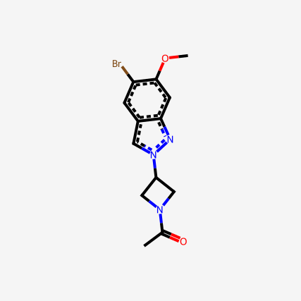 COc1cc2nn(C3CN(C(C)=O)C3)cc2cc1Br